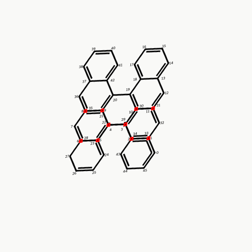 C1=C=C(P(c2ccccc2)c2ccc3ccccc3c2-c2c(P(C3=CC=CCC3)c3ccccc3)ccc3ccccc23)C=CC=1